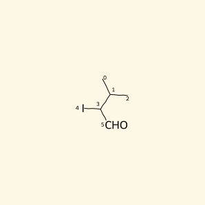 CC(C)C(I)C=O